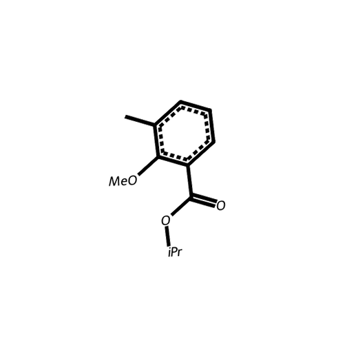 COc1c(C)cccc1C(=O)OC(C)C